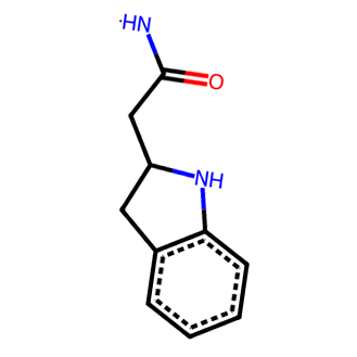 [NH]C(=O)CC1Cc2ccccc2N1